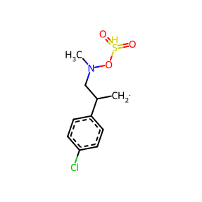 [CH2]C(CN(C)O[SH](=O)=O)c1ccc(Cl)cc1